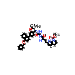 COC(=O)C[C@H](NC(=O)CNC(=O)CCCc1ccc2c(n1)N(C(=O)OC(C)(C)C)CCC2)c1ccc(-c2ccc(OCc3ccccc3)c3ccccc23)cc1